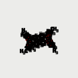 CC1=CCC(N(c2ccc(C)cc2)c2ccc3c(c2)C2(C4=CC(N(c5ccc(C)cc5)c5ccc(C)cc5)CC=C4c4ccc(N(c5ccc(C)cc5)c5ccc(C)cc5)cc42)c2cc(N(c4ccc(C)cc4)C4C=CC(C)=CC4)ccc2-3)C=C1